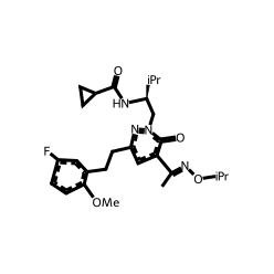 COc1ccc(F)cc1CCc1cc(/C(C)=N/OC(C)C)c(=O)n(C[C@@H](NC(=O)C2CC2)C(C)C)n1